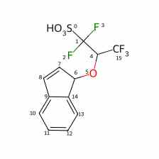 O=S(=O)(O)C(F)(F)C(OC1C=Cc2ccccc21)C(F)(F)F